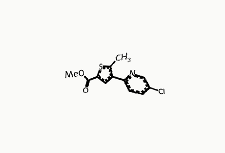 COC(=O)c1cc(-c2ccc(Cl)cn2)c(C)s1